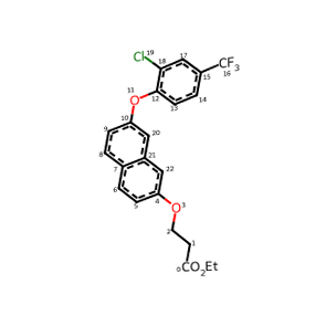 CCOC(=O)CCOc1ccc2ccc(Oc3ccc(C(F)(F)F)cc3Cl)cc2c1